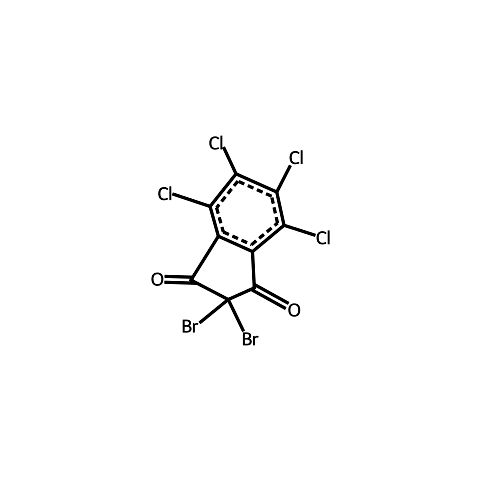 O=C1c2c(Cl)c(Cl)c(Cl)c(Cl)c2C(=O)C1(Br)Br